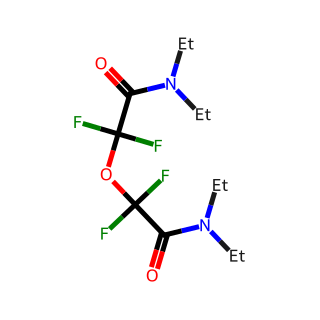 CCN(CC)C(=O)C(F)(F)OC(F)(F)C(=O)N(CC)CC